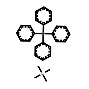 C[As+](C)(C)C.c1ccc([B-](c2ccccc2)(c2ccccc2)c2ccccc2)cc1